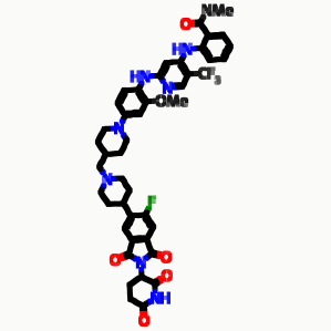 CNC(=O)c1ccccc1Nc1cc(Nc2ccc(N3CCC(CN4CCC(c5cc6c(cc5F)C(=O)N(C5CCC(=O)NC5=O)C6=O)CC4)CC3)cc2OC)ncc1C(F)(F)F